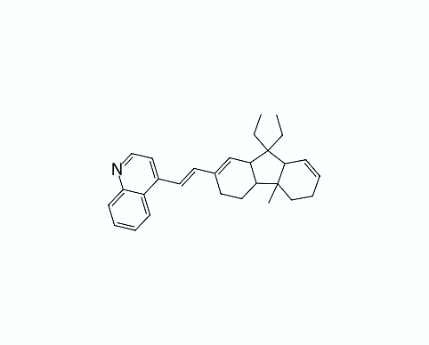 CCC1(CC)C2C=C(/C=C/c3ccnc4ccccc34)CCC2C2(C)CCC=CC21